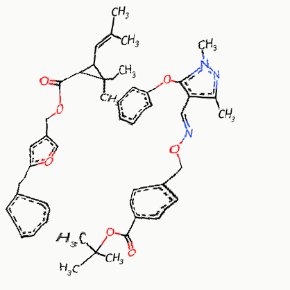 CC(C)=CC1C(C(=O)OCc2coc(Cc3ccccc3)c2)C1(C)C.Cc1nn(C)c(Oc2ccccc2)c1/C=N/OCc1ccc(C(=O)OC(C)(C)C)cc1